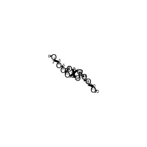 COCCOCOP1OCC2(CO1)COP(OCOCCOC)OC2